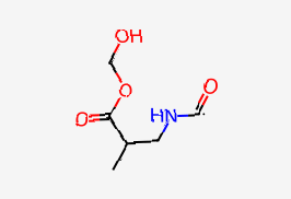 CC(CN[C]=O)C(=O)OCO